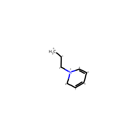 CCCN1[C]=CC=CC1